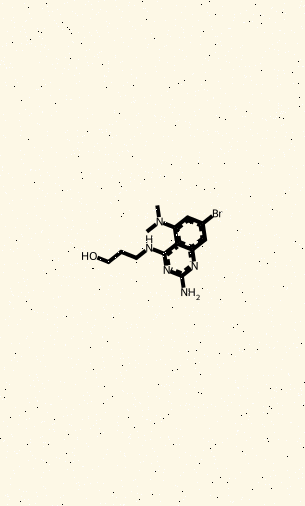 CN(C)c1cc(Br)cc2nc(N)nc(NCCCO)c12